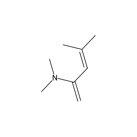 C=C(C=C(C)C)N(C)C